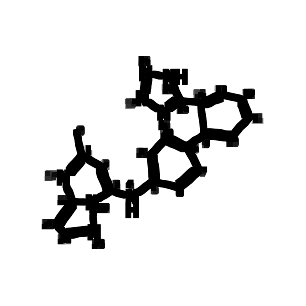 Cc1cc(Nc2ccc(-c3ccccc3-c3nnn[nH]3)cc2)n2nccc2n1